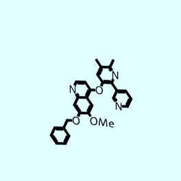 COc1cc2c(Oc3cc(C)c(C)nc3-c3cccnc3)ccnc2cc1OCc1ccccc1